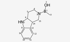 CB(O)N1CCC2Nc3ccccc3C2C1